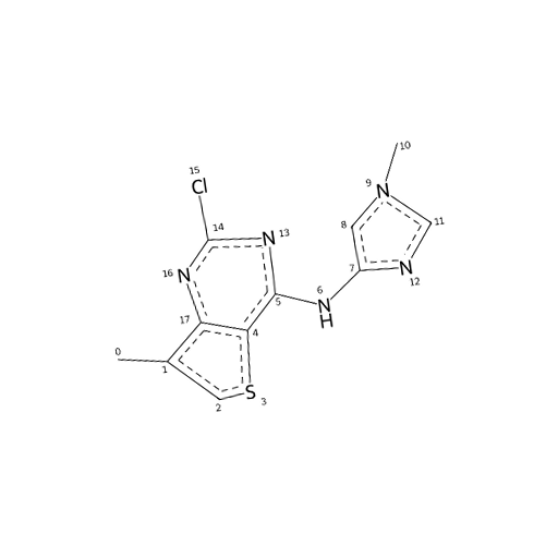 Cc1csc2c(Nc3cn(C)cn3)nc(Cl)nc12